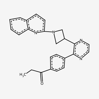 CCC(=O)c1ccc(-c2nccnc2C2CN(c3ccc4ccccc4n3)C2)cc1